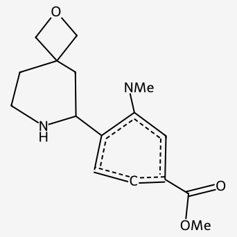 CNc1cc(C(=O)OC)ccc1C1CC2(CCN1)COC2